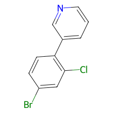 Clc1cc(Br)ccc1-c1cccnc1